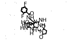 N=C1N[C@H]2[C@H](CN3C(=O)CCC3=O)NC(=N)N3CC(NC(=O)c4cc(F)ccc4F)C(O)(O)[C@]23N1